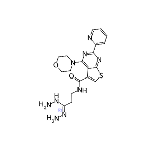 N/N=C(/CCNC(=O)c1csc2nc(-c3ccccn3)nc(N3CCOCC3)c12)NN